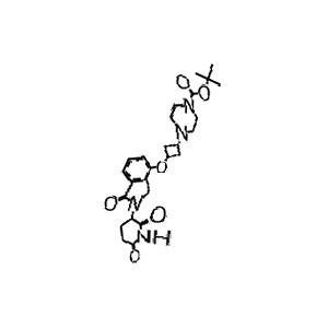 CC(C)(C)OC(=O)N1CCN([C@H]2C[C@H](Oc3cccc4c3CN(C3CCC(=O)NC3=O)C4=O)C2)CC1